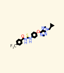 O=C(NC(=S)Nc1ccc(Oc2ncnc3c2ncn3CC2CC2)cc1)c1ccc(C(F)(F)F)cc1